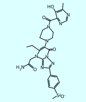 CCc1c(N2CCN(C(=O)c3ncnc(C)c3O)CC2)c(=O)n2nc(-c3ccc([S+](C)[O-])cc3)nc2n1CC(N)=O